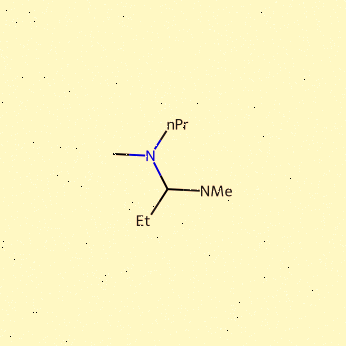 CCCN(C)C(CC)NC